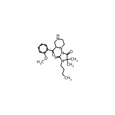 CCCCN1C(=S)N(N2CCNCC2C(=O)c2ccccc2OC)C(=O)C1(C)C